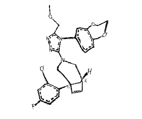 COCc1nnc(N2C[C@@H]3C=C[C@]3(c3ccc(F)cc3Cl)C2)n1-c1ccc2c(c1)OCO2